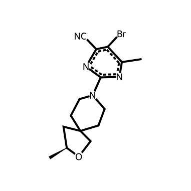 Cc1nc(N2CCC3(CC2)CO[C@@H](C)C3)nc(C#N)c1Br